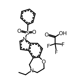 CCN1CCOc2ccc3c(ccn3S(=O)(=O)c3ccccc3)c2C1.O=C(O)C(F)(F)F